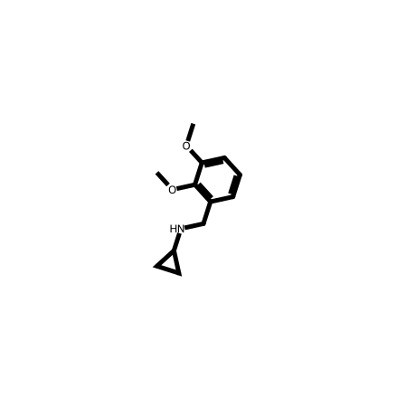 COc1cccc(CNC2CC2)c1OC